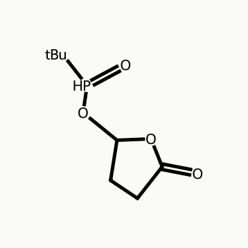 CC(C)(C)[PH](=O)OC1CCC(=O)O1